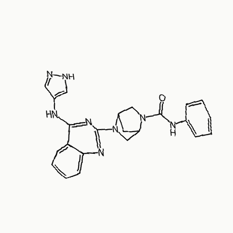 O=C(Nc1ccccc1)N1CC2CC1CN2c1nc(Nc2cn[nH]c2)c2ccccc2n1